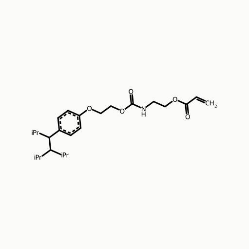 C=CC(=O)OCCNC(=O)OCCOc1ccc(C(C(C)C)C(C(C)C)C(C)C)cc1